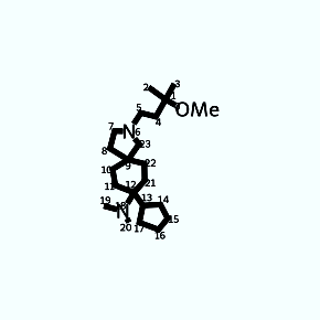 COC(C)(C)CCN1CCC2(CCC(C3CCCC3)(N(C)C)CC2)C1